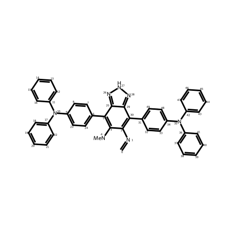 C=Nc1c(NC)c(-c2ccc(N(c3ccccc3)c3ccccc3)cc2)c2n[nH]nc2c1-c1ccc(N(c2ccccc2)c2ccccc2)cc1